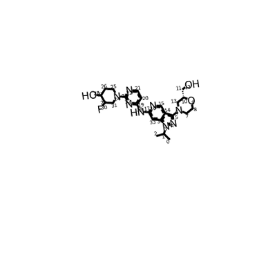 CC(C)n1nc(N2CCO[C@@H](CO)C2)c2cnc(Nc3ccnc(N4CCC(O)C(F)C4)n3)cc21